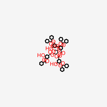 C=C(O[C@@H]1CO[C@H](OC(=O)c2cc(O)c3c(c2)OC(C)(c2ccccc2)O3)[C@H](OC(=O)c2cc(O)c3c(c2)OC(c2ccccc2)(c2ccccc2)O3)[C@H]1OC(=O)c1cc(O)c2c(c1)OC(c1ccccc1)(c1ccccc1)O2)c1cc(O)c2c(c1)OC(c1ccccc1)(c1ccccc1)O2